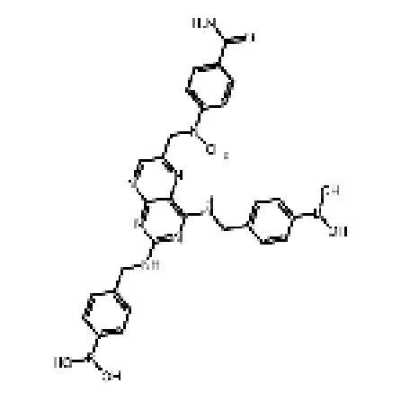 CN(Cc1cnc2nc(NCc3ccc(B(O)O)cc3)nc(NCc3ccc(B(O)O)cc3)c2n1)c1ccc(C(N)=O)cc1